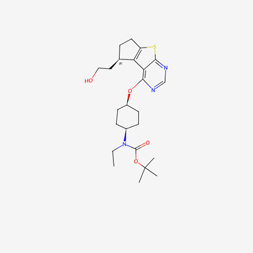 CCN(C(=O)OC(C)(C)C)[C@H]1CC[C@@H](Oc2ncnc3sc4c(c23)[C@@H](CCO)CC4)CC1